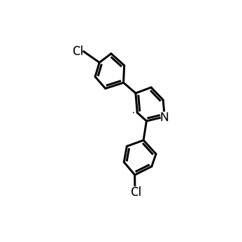 Clc1ccc(-c2[c]c(-c3ccc(Cl)cc3)ncc2)cc1